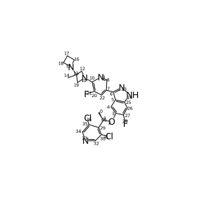 C[C@@H](Oc1cc2c(-c3cnc(N4CC(C)(N5CCC5)C4)c(F)c3)n[nH]c2cc1F)c1c(Cl)cncc1Cl